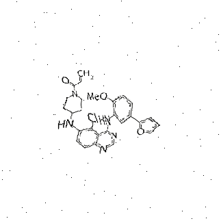 C=CC(=O)N1CCC(Nc2ccc3ncnc(Nc4cc(-c5ccco5)ccc4OC)c3c2Cl)CC1